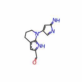 N=C1C=C(N2CCCc3cc(C=O)[nH]c32)C=N1